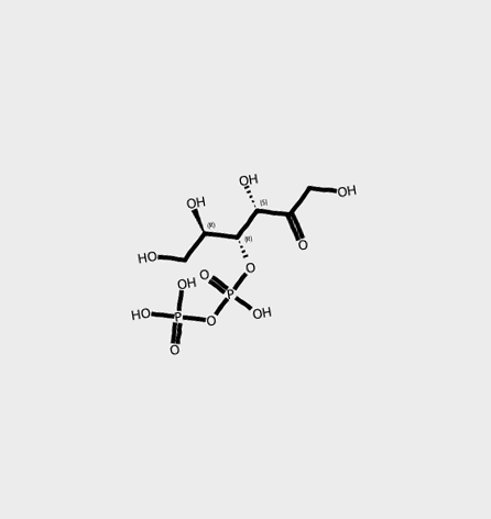 O=C(CO)[C@@H](O)[C@H](OP(=O)(O)OP(=O)(O)O)[C@H](O)CO